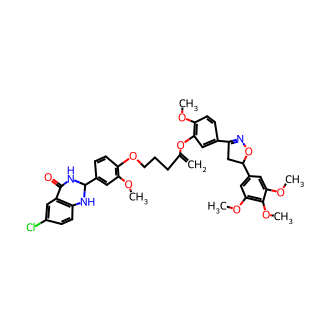 C=C(CCCOc1ccc(C2NC(=O)c3cc(Cl)ccc3N2)cc1OC)Oc1cc(C2=NOC(c3cc(OC)c(OC)c(OC)c3)C2)ccc1OC